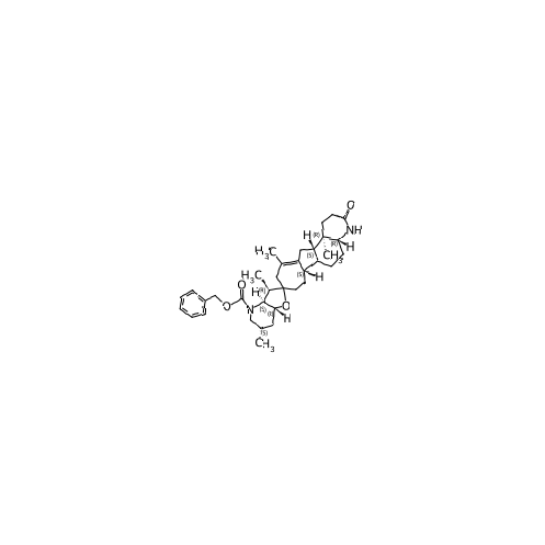 CC1=C2C[C@H]3C(CC[C@H]4NC(=O)CC[C@@]43C)[C@@H]2CCC2(C1)O[C@@H]1C[C@H](C)CN(C(=O)OCc3ccccc3)[C@H]1[C@H]2C